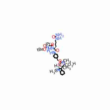 CC(C)C(NC(=O)OC(C)(C)C)C(=O)N[C@@H](CCCCNC(N)=O)C(=O)Nc1ccc(COC(=O)N(C)[C@H](C(=O)O)C(C)(C)c2cn(C)c3ccccc23)cc1